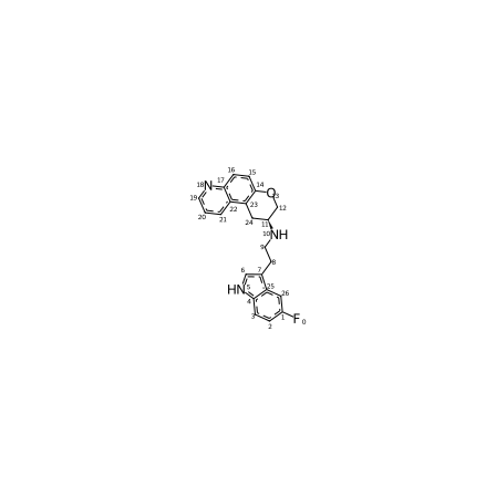 Fc1ccc2[nH]cc(CCN[C@@H]3COc4ccc5ncccc5c4C3)c2c1